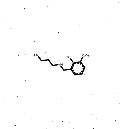 COc1cccc(CNCCCN)c1O